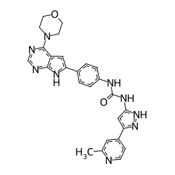 Cc1cc(-c2cc(NC(=O)Nc3ccc(-c4cc5c(N6CCOCC6)ncnc5[nH]4)cc3)[nH]n2)ccn1